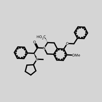 COc1ccc2c(c1OCc1ccccc1)C[C@@H](C(=O)O)N(C(=O)[C@H](c1ccccc1)N(C)C1CCCC1)C2